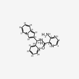 Nc1nccnc1C(=O)NC(c1cc2ccccn2c1)c1ccccn1